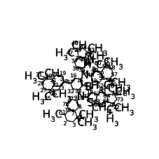 CC1CCC(C)(C)c2cc(N3C4=C(B5C6=C(C=C(c7ccc8c(c7)C(C)(C)CCC8(C)C)CC63)N(C3=CC=C6[C@H](C3)C(C)(C)CC6(C)C)c3cc6c(cc35)C(C)(C)CCC6(C)C)C3C=C5C(=CC3(C)S4)C(C)(C)CC5(C)C)ccc21